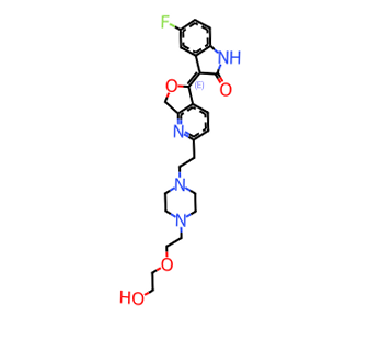 O=C1Nc2ccc(F)cc2/C1=C1\OCc2nc(CCN3CCN(CCOCCO)CC3)ccc21